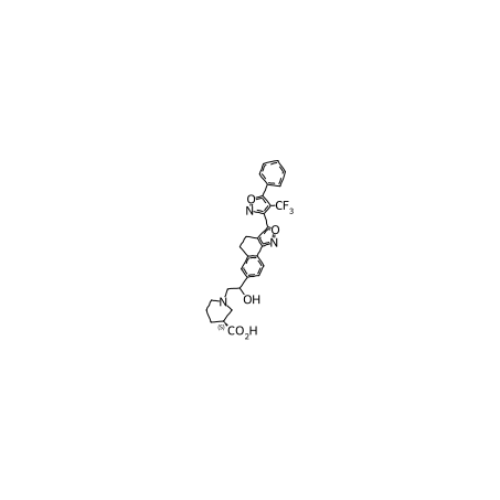 O=C(O)[C@H]1CCCN(CC(O)c2ccc3c(c2)CCc2c-3noc2-c2noc(-c3ccccc3)c2C(F)(F)F)C1